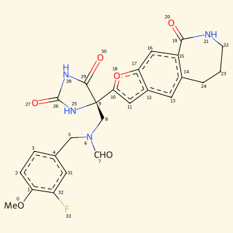 COc1ccc(CN(C=O)C[C@@]2(c3cc4cc5c(cc4o3)C(=O)NCCC5)NC(=O)NC2=O)cc1F